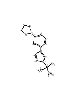 CC(C)(C)n1cc(-c2cccc(N3CCCC3)c2)cn1